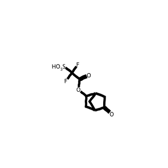 O=C1CC2CC1CC2OC(=O)C(F)(F)S(=O)(=O)O